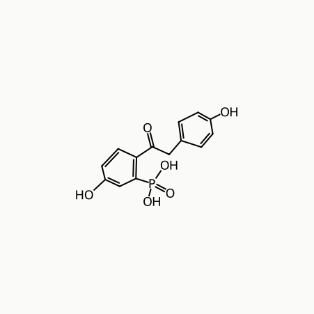 O=C(Cc1ccc(O)cc1)c1ccc(O)cc1P(=O)(O)O